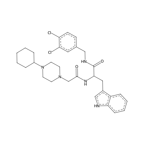 O=C(CN1CCN(C2CCCCC2)CC1)NC(Cc1c[nH]c2ccccc12)C(=O)NCc1ccc(Cl)c(Cl)c1